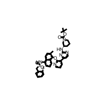 Cc1ccc2c(NS(=O)(=O)Cc3ccccc3F)cccc2c1Oc1ncccc1-c1ccnc(N[C@H]2CCCN(C(=O)OC(C)(C)C)C2)n1